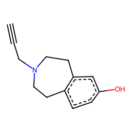 C#CCN1CCc2ccc(O)cc2CC1